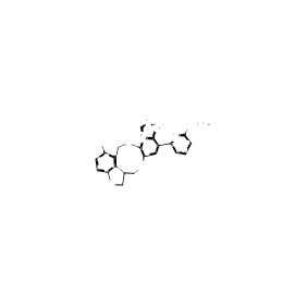 COc1cccc(-c2cc3c(n4cnnc24)NCc2c(F)ccc4c2C(CO4)CO3)n1